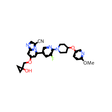 COc1ccc(OC2CCN(c3ncc(-c4cc(OCC5(O)CC5)cc5ncc(C#N)n45)cc3F)CC2)cn1